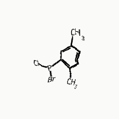 Cc1ccc(C)c(P(Cl)Br)c1